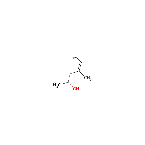 C/C=C(/C)CC(C)O